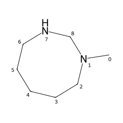 CN1CCCCCNC1